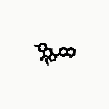 Cc1ccc2c(c1)C(=O)[C@]1(OI)CCN(c3ccc4cccnc4c3)C1=N2